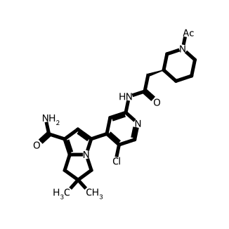 CC(=O)N1CCC[C@@H](CC(=O)Nc2cc(-c3cc(C(N)=O)c4n3CC(C)(C)C4)c(Cl)cn2)C1